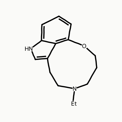 CCN1CCCOc2cccc3[nH]cc(c23)CC1